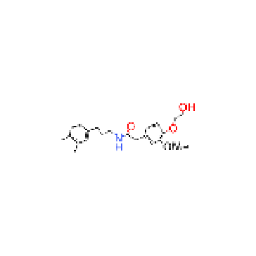 COc1cc(CC(=O)NCCCc2ccc(C)c(C)c2)ccc1OCCO